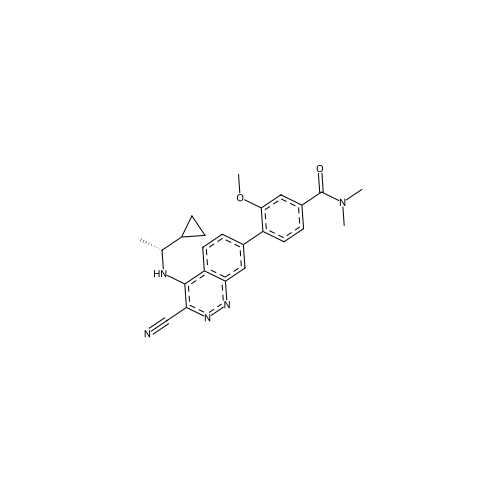 COc1cc(C(=O)N(C)C)ccc1-c1ccc2c(N[C@H](C)C3CC3)c(C#N)nnc2c1